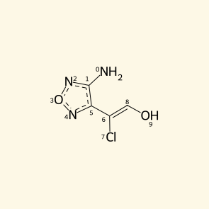 Nc1nonc1/C(Cl)=C/O